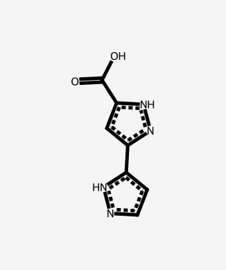 O=C(O)c1cc(-c2ccn[nH]2)n[nH]1